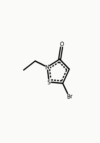 CCn1sc(Br)cc1=O